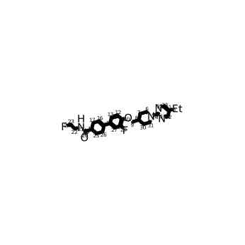 CCc1cnc(N2CCC(COc3ccc(C4=CCC(C(=O)NCCF)CC4)cc3F)CC2)nc1